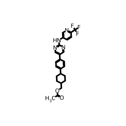 CC(=O)OCC1CCC(c2ccc(-c3cnc(Nc4ccc(C(F)(F)F)nc4)nc3)cc2)CC1